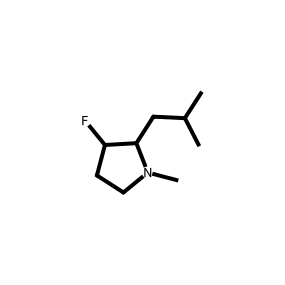 CC(C)CC1C(F)CCN1C